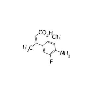 C/C(=C/C(=O)O)c1ccc(N)c(F)c1.Cl